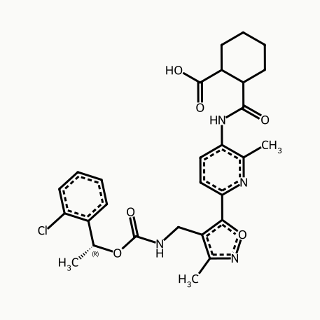 Cc1nc(-c2onc(C)c2CNC(=O)O[C@H](C)c2ccccc2Cl)ccc1NC(=O)C1CCCCC1C(=O)O